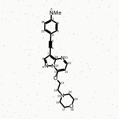 CNc1ccc(C#Cc2cnn3c(OCCN4CCOCC4)ccnc23)cc1